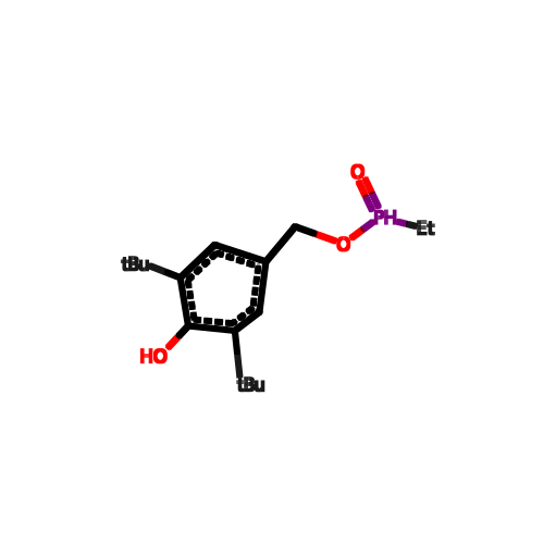 CC[PH](=O)OCc1cc(C(C)(C)C)c(O)c(C(C)(C)C)c1